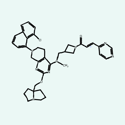 CN(CC1CN(C(=O)/C=C/c2ccncn2)C1)c1nc(OCC23CCCN2CCC3)nc2c1CCN(c1cccc3cccc(Cl)c13)C2